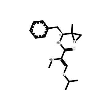 CN/C(=C\SC(C)C)C(=O)N[C@@H](Cc1ccccc1)C1(C)CO1